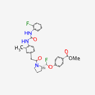 COC(=O)c1ccc(OC(F)[C@@H]2CCCN2C(=O)Cc2ccc(NC(=O)Nc3ccccc3F)c(C)c2)cc1